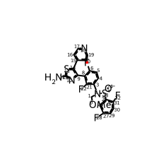 COCN(c1ccc(F)c(-c2nc(N)sc2-c2ccncc2)c1F)[S+]([O-])c1cc(F)ccc1F